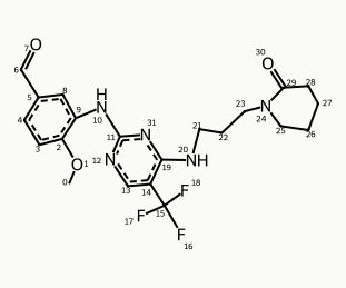 COc1ccc(C=O)cc1Nc1ncc(C(F)(F)F)c(NCCCN2CCCCC2=O)n1